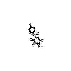 Cc1ccc(S(=O)(=O)N2C=C(F)C3NC3N(C)C2=O)cc1